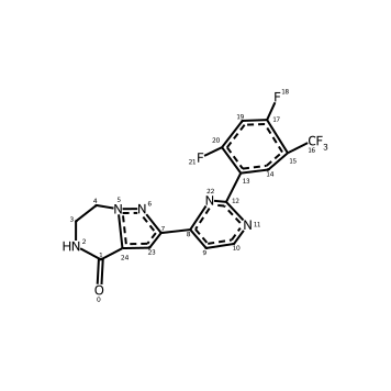 O=C1NCCn2nc(-c3ccnc(-c4cc(C(F)(F)F)c(F)cc4F)n3)cc21